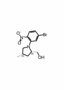 C[C@H]1C[C@@H](CO)N(c2cc(Br)ccc2[N+](=O)[O-])C1